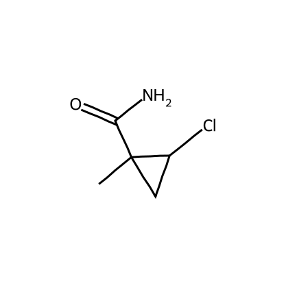 CC1(C(N)=O)CC1Cl